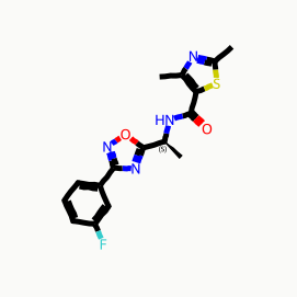 Cc1nc(C)c(C(=O)N[C@@H](C)c2nc(-c3cccc(F)c3)no2)s1